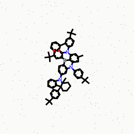 Cc1cc2c3c(c1)N(c1ccc(C(C)(C)C)cc1-c1ccccc1)c1ccc(C(C)(C)C)cc1B3c1ccc(N3c4ccccc4C4(c5ccc(C(C)(C)C)cc5)CCCCC34C)cc1N2c1ccc(C(C)(C)C)cc1